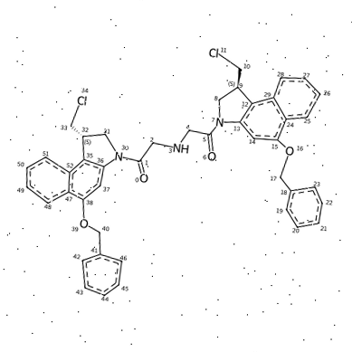 O=C(CNCC(=O)N1C[C@@H](CCl)c2c1cc(OCc1ccccc1)c1ccccc21)N1C[C@@H](CCl)c2c1cc(OCc1ccccc1)c1ccccc21